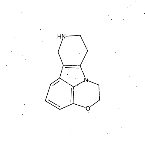 c1cc2c3c(c1)c1c(n3CCO2)CCNC1